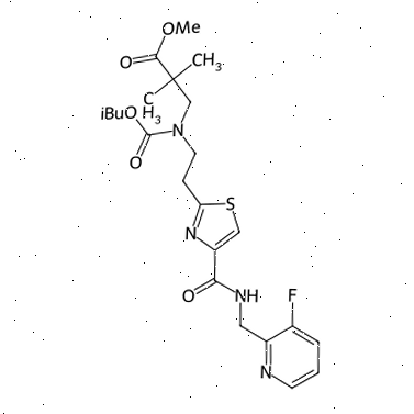 COC(=O)C(C)(C)CN(CCc1nc(C(=O)NCc2ncccc2F)cs1)C(=O)OCC(C)C